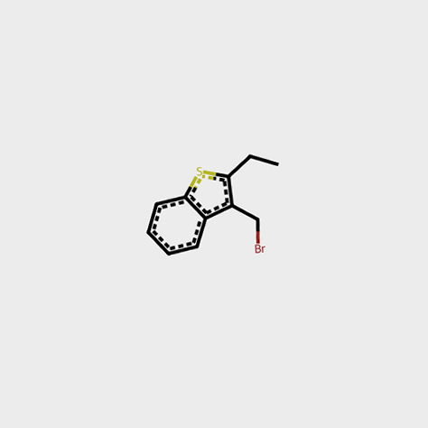 CCc1sc2ccccc2c1CBr